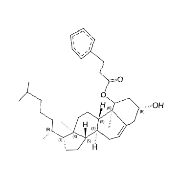 CC(C)CCC[C@@H](C)[C@H]1CC[C@H]2[C@@H]3CC=C4C[C@@H](O)CC(OC(=O)CCc5ccccc5)[C@]4(C)[C@H]3CC[C@]12C